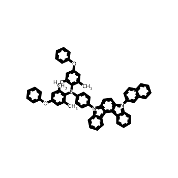 Cc1cc(Oc2ccccc2)cc(C)c1B(c1ccc(-n2c3ccccc3c3c4c5ccccc5n(-c5ccc6ccccc6c5)c4ccc32)cc1)c1c(C)cc(Oc2ccccc2)cc1C